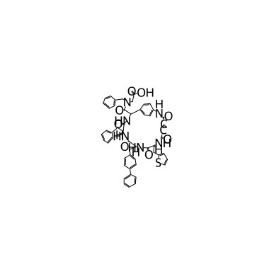 O=C(O)CN(Cc1ccccc1)C(=O)C1NC(=O)[C@@H](Cc2ccccc2)NC(=O)[C@H](Cc2ccc(-c3ccccc3)cc2)NC(=O)[C@@H](Cc2cccs2)NC(=O)CCC(=O)Nc2ccc1cc2